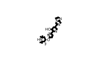 CC1(C)C[C@H](Oc2ccc(-c3ncc(-c4cn5ccnc5cn4)cc3O)nn2)[C@H](F)C(C)(C)N1